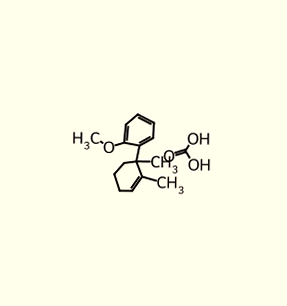 COc1ccccc1C1(C)CCCC=C1C.O=C(O)O